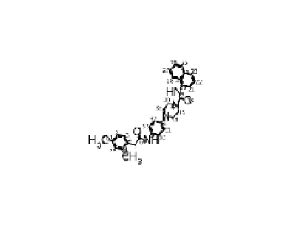 Cc1ccc(CC(=O)Nc2ccc(N3CCN(C(=O)Nc4cccc5ccccc45)CC3)cc2)c(C)c1